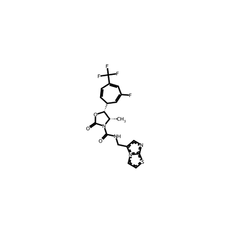 C[C@H]1[C@@H](C2C=CC(C(F)(F)F)=CC(F)=C2)OC(=O)N1C(=O)NCc1cnc2sccn12